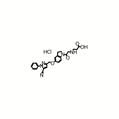 Cl.N#Cc1cc(COc2ccc3c(c2)CCN3C(=O)CNCCC(=O)O)nn1-c1ccccc1